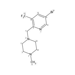 CN1CCN(Cc2ncc(Br)cc2C(F)(F)F)CC1